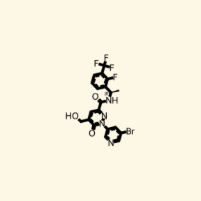 C[C@@H](NC(=O)c1cc(CO)c(=O)n(-c2cncc(Br)c2)n1)c1cccc(C(F)(F)F)c1F